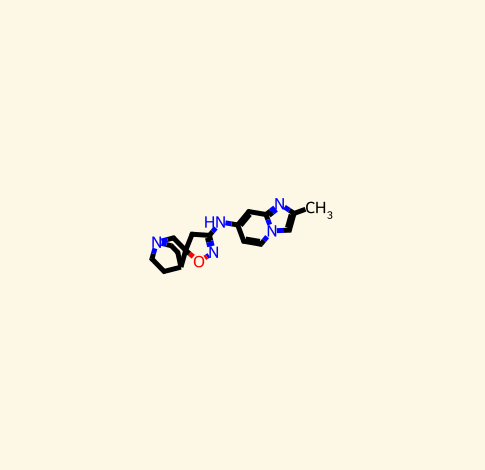 Cc1cn2ccc(NC3=NOC4(C3)CN3CCC4CC3)cc2n1